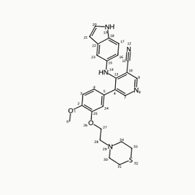 COc1ccc(-c2cncc(C#N)c2Nc2ccc3[nH]ccc3c2)cc1OCCN1CCSCC1